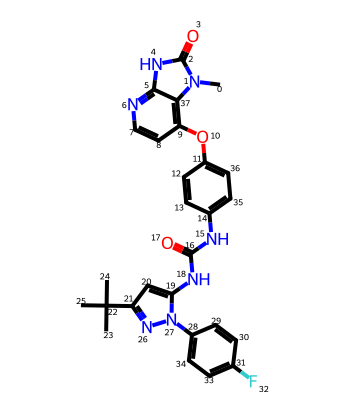 Cn1c(=O)[nH]c2nccc(Oc3ccc(NC(=O)Nc4cc(C(C)(C)C)nn4-c4ccc(F)cc4)cc3)c21